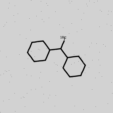 [18F]C(C1CCCCC1)C1CCCCC1